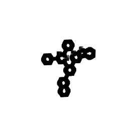 c1ccc(-c2cc(-c3cc(-c4ccc5ccccc5c4)ccc3-c3cnc4sc5ccccc5c4c3)nc(-c3ccccc3)n2)cc1